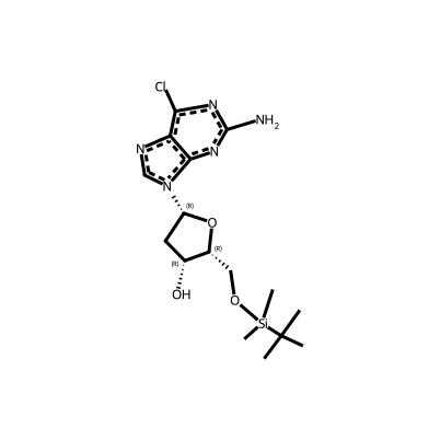 CC(C)(C)[Si](C)(C)OC[C@H]1O[C@@H](n2cnc3c(Cl)nc(N)nc32)C[C@H]1O